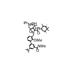 CNC(=O)c1cc(-c2cccc(CN3O[C@@H](CNC(C)C)[C@@H]([C@H](C)O)[C@H]3C(=O)N[C@H]3C[C@@H](C)C(C)(C)[C@@H](C)[C@@H]3C)c2OC)cc(N(C)C)c1